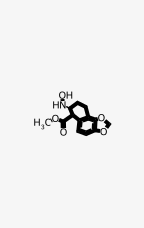 COC(=O)C1c2ccc3c(c2CC[C@H]1NO)OCO3